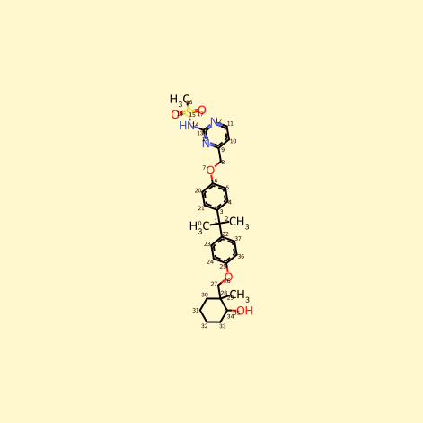 CC(C)(c1ccc(OCc2ccnc(NS(C)(=O)=O)n2)cc1)c1ccc(OCC2(C)CCCCC2O)cc1